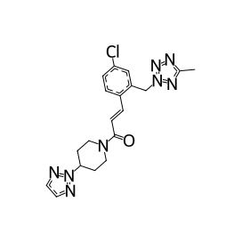 Cc1nnn(Cc2cc(Cl)ccc2C=CC(=O)N2CCC(n3nccn3)CC2)n1